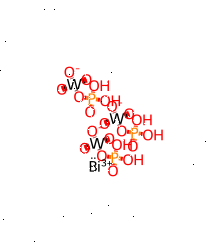 O=P(O)(O)[O][W](=[O])(=[O])[O-].O=P(O)(O)[O][W](=[O])(=[O])[O-].O=P(O)(O)[O][W](=[O])(=[O])[O-].[Bi+3]